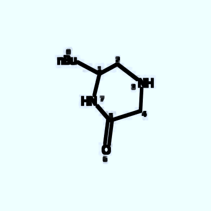 CCCCC1CNCC(=O)N1